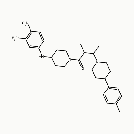 Cc1ccc(N2CCN(C(C)C(C)C(=O)N3CCC(Nc4ccc([N+](=O)[O-])c(C(F)(F)F)c4)CC3)CC2)cc1